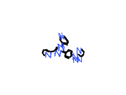 c1ccc(-c2cn(-c3cccnc3)c(-c3ccc(-n4nnc5cccnc54)cc3)n2)nc1